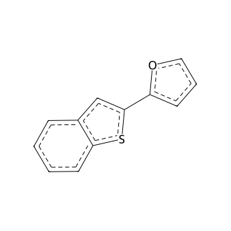 c1coc(-c2cc3ccccc3s2)c1